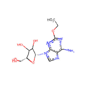 Nc1nc(OCC(=O)O)nc2c1ncn2[C@@H]1O[C@H](CO)C(O)C1O